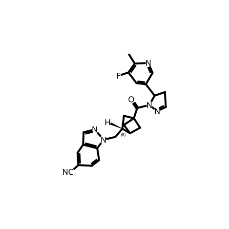 Cc1ncc(C2CC=NN2C(=O)C23CC(C2)[C@H](Cn2ncc4cc(C#N)ccc42)C3)cc1F